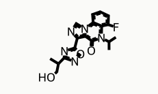 CC(CO)c1noc(-c2ncn3c2c(=O)n(C(C)C)c2c(F)cccc23)n1